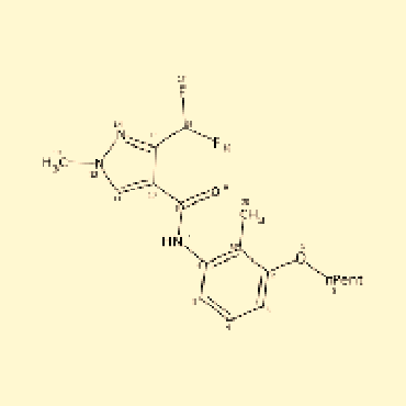 CCCCCOc1cccc(NC(=O)c2cn(C)nc2C(F)F)c1C